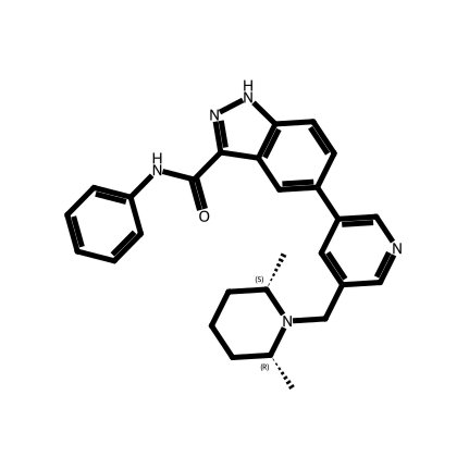 C[C@@H]1CCC[C@H](C)N1Cc1cncc(-c2ccc3[nH]nc(C(=O)Nc4ccccc4)c3c2)c1